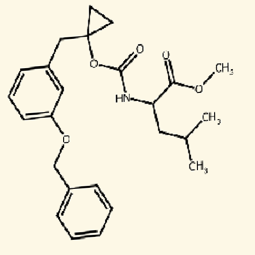 COC(=O)C(CC(C)C)NC(=O)OC1(Cc2cccc(OCc3ccccc3)c2)CC1